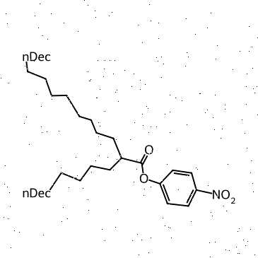 CCCCCCCCCCCCCCCCCCC(CCCCCCCCCCCCCC)C(=O)Oc1ccc([N+](=O)[O-])cc1